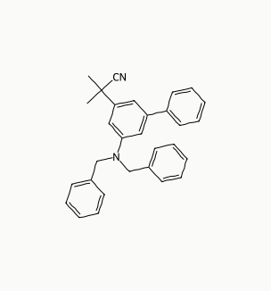 CC(C)(C#N)c1cc(-c2ccccc2)cc(N(Cc2ccccc2)Cc2ccccc2)c1